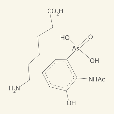 CC(=O)Nc1c(O)cccc1[As](=O)(O)O.NCCCCCC(=O)O